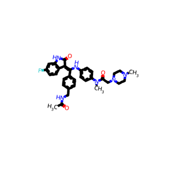 CC(=O)NCc1ccc(/C(Nc2ccc(N(C)C(=O)CN3CCN(C)CC3)cc2)=C2/C(=O)Nc3cc(F)ccc32)cc1